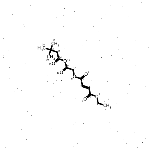 CCOC(=O)C=CC(=O)OCC(=O)OC(=O)CC(C)(C)C